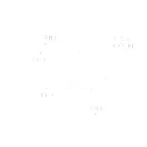 O=C(O)c1cc(O)c(O)c(O)c1.[AlH3].[La]